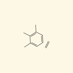 C=C.Cc1cccc(C)c1C